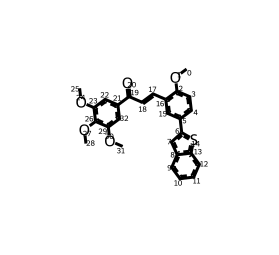 COc1ccc(-c2cc3ccccc3s2)cc1C=CC(=O)c1cc(OC)c(OC)c(OC)c1